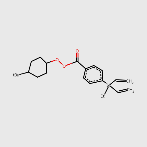 C=C[Si](C=C)(CC)c1ccc(C(=O)OO[C]2CCC(C(C)(C)C)CC2)cc1